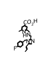 CC=Cc1cnc(CNCc2cc(C(=O)O)cc(C)n2)n1Cc1ccc(F)cc1